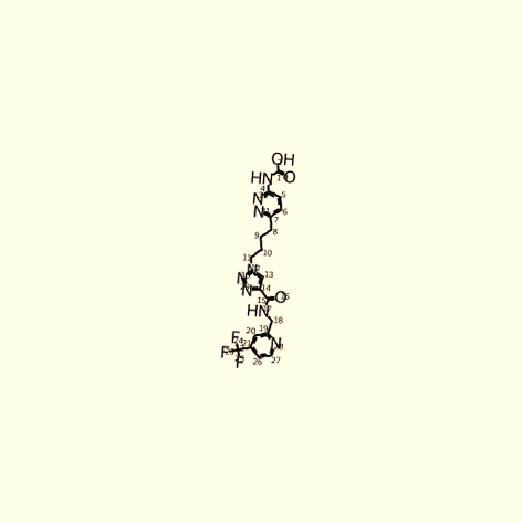 O=C(O)Nc1ccc(CCCCn2cc(C(=O)NCc3cc(C(F)(F)F)ccn3)nn2)nn1